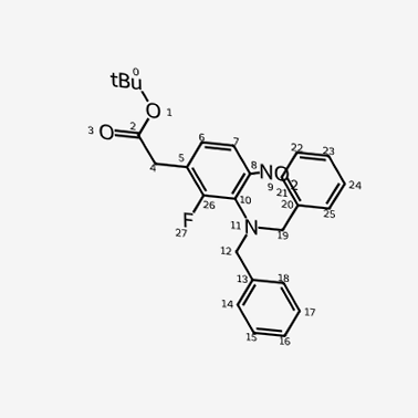 CC(C)(C)OC(=O)Cc1ccc([N+](=O)[O-])c(N(Cc2ccccc2)Cc2ccccc2)c1F